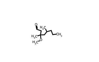 CCCC(C)CC(C)(CC=O)OC